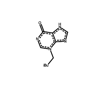 CCC(C)Cn1cnc(=O)c2[nH]cnc21